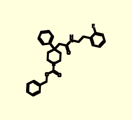 O=C(CC1(c2ccccc2)CCN(C(=O)OCc2ccccc2)CC1)NCCc1ccccc1F